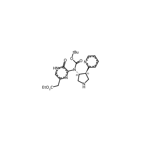 CCOC(=O)Cc1c[nH]c(=O)c(N(C(=O)OC(C)(C)C)[C@H]2CNC[C@@H]2c2ccccn2)n1